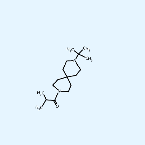 CC(C)C(=O)N1CCC2(CC1)CCN(C(C)(C)C)CC2